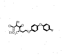 CCOC(=O)N(CCOc1ccc(Oc2ccc(F)cc2)cc1)C(=O)C(NCl)C(C)C